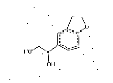 OCC(O)c1ccc2c(c1)CCO2